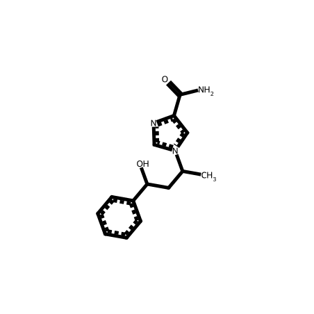 CC(CC(O)c1ccccc1)n1cnc(C(N)=O)c1